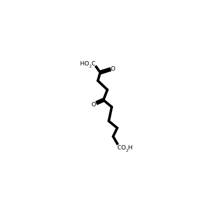 O=C(O)CCCCC(=O)CCC(=O)C(=O)O